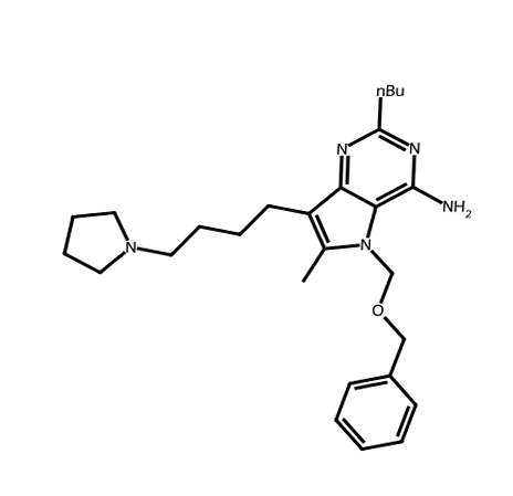 CCCCc1nc(N)c2c(n1)c(CCCCN1CCCC1)c(C)n2COCc1ccccc1